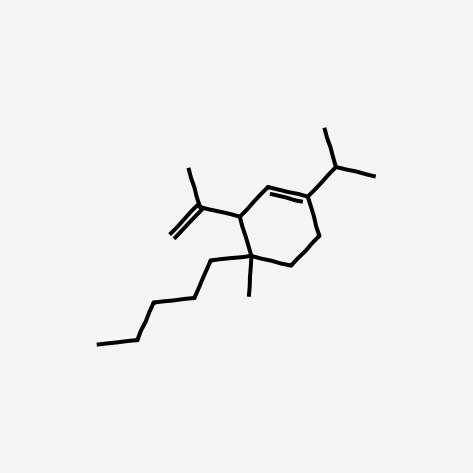 C=C(C)C1C=C(C(C)C)CCC1(C)CCCCC